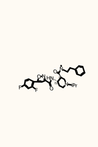 CC(C)N1CC[C@H](NC(=O)c2cc(-c3ccc(F)cc3F)on2)[C@@H](C(=O)N(C)CCc2ccccc2)C1